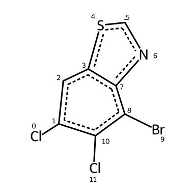 Clc1cc2s[c]nc2c(Br)c1Cl